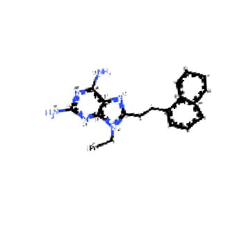 CC(C)Cn1c(CCc2cccc3ccccc23)nc2c(N)nc(N)nc21